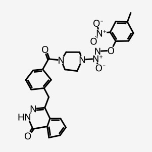 Cc1ccc(O/N=[N+](\[O-])N2CCN(C(=O)c3cccc(Cc4n[nH]c(=O)c5ccccc45)c3)CC2)c([N+](=O)[O-])c1